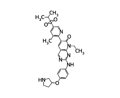 CCn1c(=O)c(-c2ncc(S(=O)(=O)C(C)C)cc2C)cc2cnc(Nc3ccc(OC4CCNC4)cc3)nc21